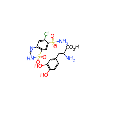 NS(=O)(=O)c1cc2c(cc1Cl)N=CNS2(=O)=O.N[C@@H](Cc1ccc(O)c(O)c1)C(=O)O